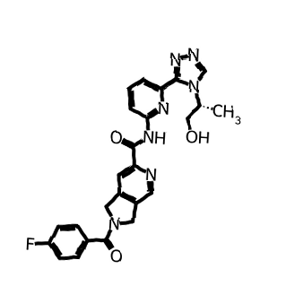 C[C@H](CO)n1cnnc1-c1cccc(NC(=O)c2cc3c(cn2)CN(C(=O)c2ccc(F)cc2)C3)n1